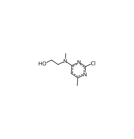 Cc1cc(N(C)CCO)nc(Cl)n1